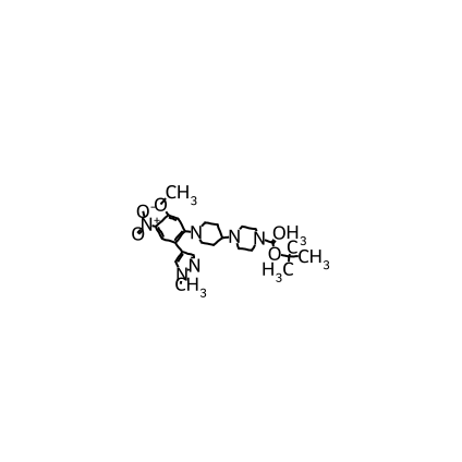 COc1cc(N2CCC(N3CCN(C(=O)OC(C)(C)C)CC3)CC2)c(-c2cnn(C)c2)cc1[N+](=O)[O-]